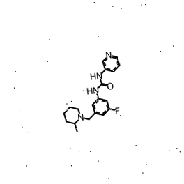 CC1CCCCN1Cc1cc(F)cc(NC(=O)Nc2cccnc2)c1